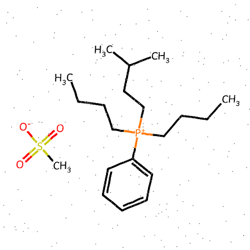 CCCC[P+](CCCC)(CCC(C)C)c1ccccc1.CS(=O)(=O)[O-]